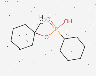 CC1(OP(=O)(O)C2CCCCC2)CCCCC1